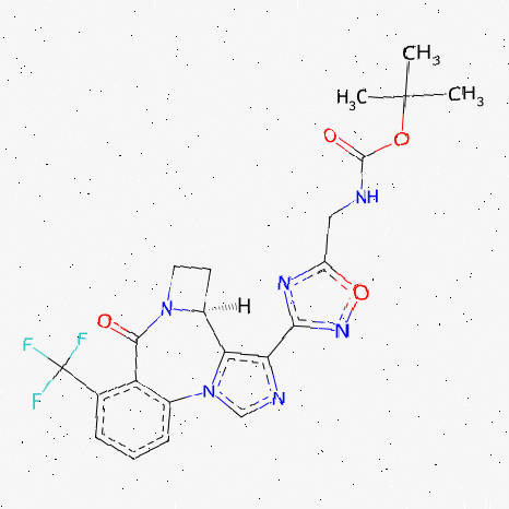 CC(C)(C)OC(=O)NCc1nc(-c2ncn3c2[C@@H]2CCN2C(=O)c2c-3cccc2C(F)(F)F)no1